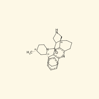 C[C@@H]1CCN(C(=O)C2CNC[C@]23CCCc2nc4c(cc23)CCCC4)[C@H](c2ccccc2)C1